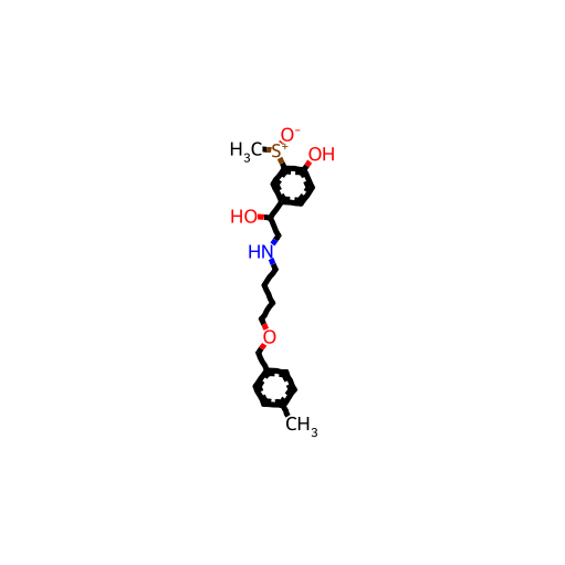 Cc1ccc(COCCCCNCC(O)c2ccc(O)c([S+](C)[O-])c2)cc1